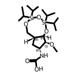 CO[C@@H]1[C@@H]2O[Si](C(C)C)(C(C)C)O[Si](C(C)C)(C(C)C)OC[C@H]2C[C@H]1NC(=O)O